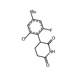 CC(C)(C)c1cc(F)c(C2CCC(=O)NC2=O)c(Cl)c1